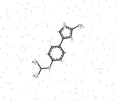 [CH2]C(N)Oc1ccc(-c2coc(C)n2)cc1